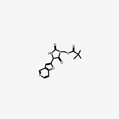 CC(C)(C)C(=O)OCN1C(=O)NC(c2cc3cnccc3o2)C1=O